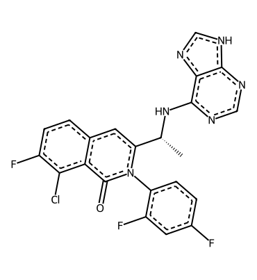 C[C@@H](Nc1ncnc2[nH]cnc12)c1cc2ccc(F)c(Cl)c2c(=O)n1-c1ccc(F)cc1F